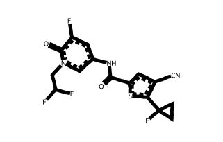 N#Cc1cc(C(=O)Nc2cc(F)c(=O)n(CC(F)F)c2)sc1C1(F)CC1